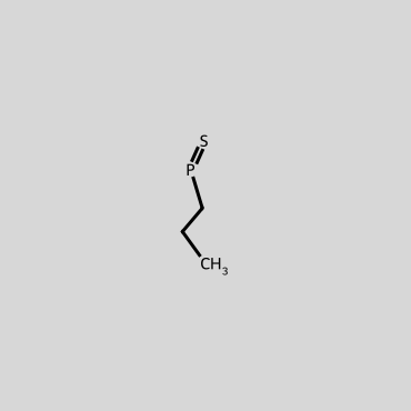 CCCP=S